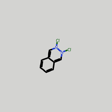 ClN1C=c2ccccc2=CN1Cl